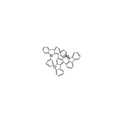 Oc1c(-c2cccc3c4ccccc4n(-c4ccccc4)c23)cc2oc3ccccc3c2c1-c1cccc2c3ccccc3n(-c3ccccc3)c12